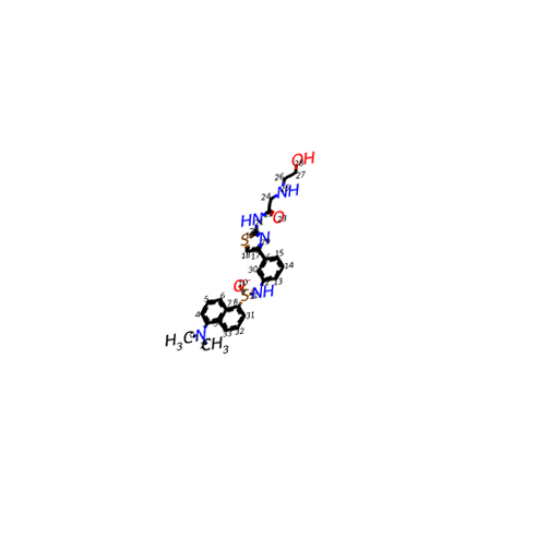 CN(C)c1cccc2c([S+]([O-])Nc3cccc(-c4csc(NC(=O)CNCCO)n4)c3)cccc12